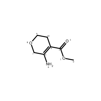 COC(=O)C1=C(N)COCC1